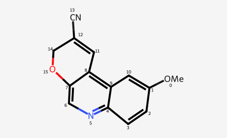 COc1ccc2ncc3c(c2c1)C=C(C#N)CO3